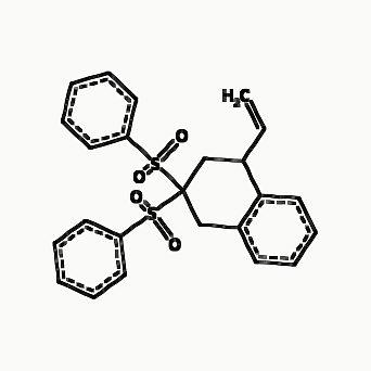 C=CC1CC(S(=O)(=O)c2ccccc2)(S(=O)(=O)c2ccccc2)Cc2ccccc21